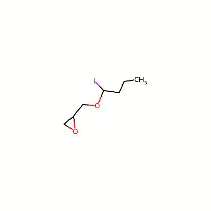 CCCC(I)OCC1CO1